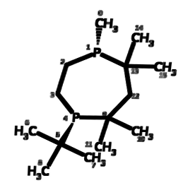 C[P@@]1CC[P@](C(C)(C)C)C(C)(C)CC1(C)C